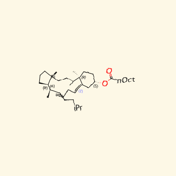 C=CC/C=C1/C[C@@H](OC(=O)CCCCCCCC)CC[C@]1(C)C(C)CC[C@@]1(C)CCC[C@@H]1[C@H](C)CCCC(C)C